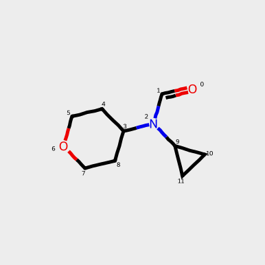 O=CN(C1CCOCC1)C1CC1